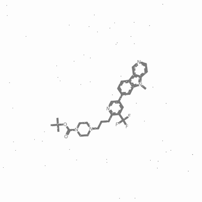 Cn1c2ccncc2c2ccc(-c3cnc(CCCN4CCN(C(=O)OC(C)(C)C)CC4)c(C(F)(F)F)c3)cc21